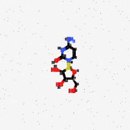 Nc1ccn([SH]2O[C@H](CO)[C@@H](O)[C@H]2O)c(=O)n1